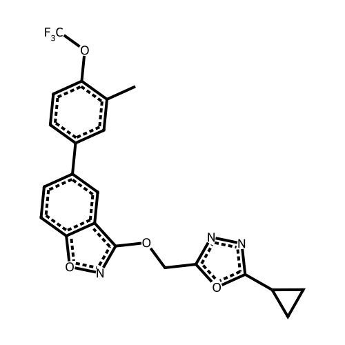 Cc1cc(-c2ccc3onc(OCc4nnc(C5CC5)o4)c3c2)ccc1OC(F)(F)F